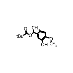 CC(OC(=O)C(C)(C)C)c1ccc(OC(F)(F)F)c(O)c1